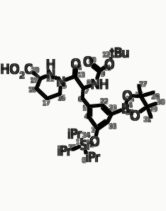 CC(C)[Si](Oc1cc(CC(NC(=O)OC(C)(C)C)C(=O)N2CCC[C@@H](C(=O)O)N2)cc(B2OC(C)(C)C(C)(C)O2)c1)(C(C)C)C(C)C